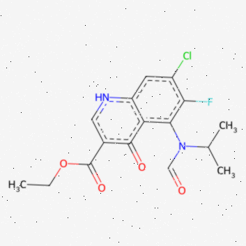 CCOC(=O)c1c[nH]c2cc(Cl)c(F)c(N(C=O)C(C)C)c2c1=O